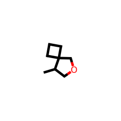 CC1COCC12CCC2